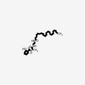 CC/C=C\C/C=C\C/C=C\C/C=C\C/C=C\C/C=C\CCC(=O)NCCNC(=O)[C@H](C)NC(=O)c1ccccc1O